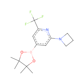 CC1(C)OB(c2cc(N3CCC3)nc(C(F)(F)F)c2)OC1(C)C